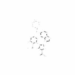 C[C@@H](Oc1cc(-n2cnc3cnc(CN4CCNCC4)cc32)sc1C(N)=O)c1ccccc1C(F)(F)F